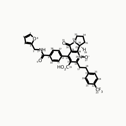 O=C(NCc1ccco1)c1ccc(-c2c(C(=O)O)c(CCc3ccc(C(F)(F)F)cc3)[n+]([O-])c3c2C(=O)N2CCC[C@@H]32)cc1